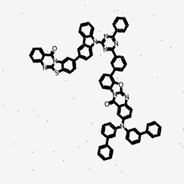 O=c1c2cc(N(c3cccc(-c4ccccc4)c3)c3cccc(-c4ccccc4)c3)ccc2nc2oc3c(-c4cccc(-c5nc(-c6ccccc6)nc(-n6c7ccccc7c7cc(-c8ccc9sc%10nc%11ccccc%11c(=O)n%10c9c8)ccc76)n5)c4)cccc3n12